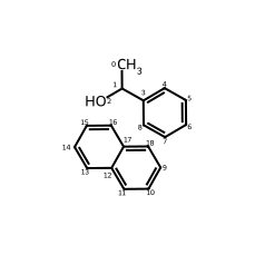 CC(O)c1ccccc1.c1ccc2ccccc2c1